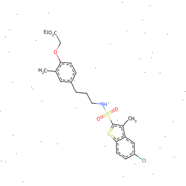 CCOC(=O)COc1ccc(CCCNS(=O)(=O)c2sc3ccc(Cl)cc3c2C)cc1C